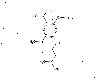 COc1cc(C(C)C)c(OC)cc1NCCN(C)C